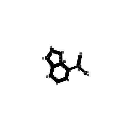 O=[N+]([O-])c1ccnc2sncc12